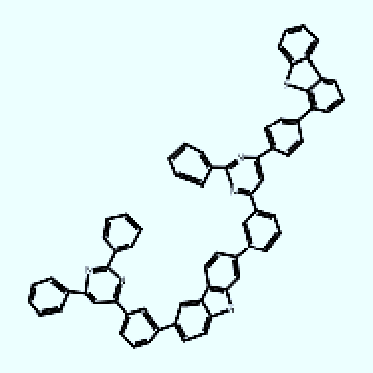 c1ccc(-c2cc(-c3cccc(-c4ccc5sc6cc(-c7cccc(-c8cc(-c9ccc(-c%10cccc%11c%10sc%10ccccc%10%11)cc9)nc(-c9ccccc9)n8)c7)ccc6c5c4)c3)nc(-c3ccccc3)n2)cc1